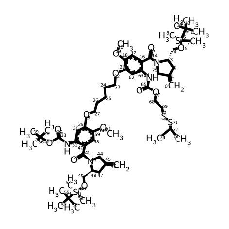 C=C1C[C@@H](CO[Si](C)(C)C(C)(C)C)N(C(=O)c2cc(OC)c(OCCCCCOc3cc(NC(=O)OC(C)(C)C)c(C(=O)N4CC(=C)C[C@H]4CO[Si](C)(C)C(C)(C)C)cc3OC)cc2NC(=O)OCCSSC(C)C)C1